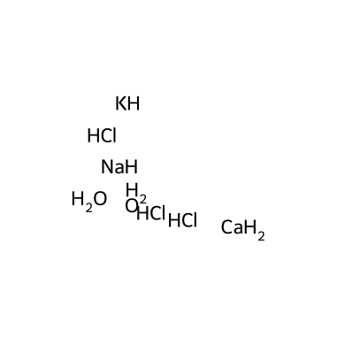 Cl.Cl.Cl.O.O.[CaH2].[KH].[NaH]